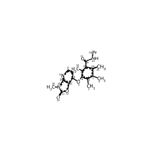 Cc1c(C)c(Oc2ccnc3c2oc(=O)n3C)c(C)c(C(=O)NC(C)C)c1C